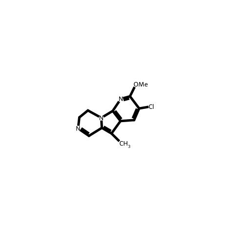 COc1nc2c(cc1Cl)c(C)c1n2CCN=C1